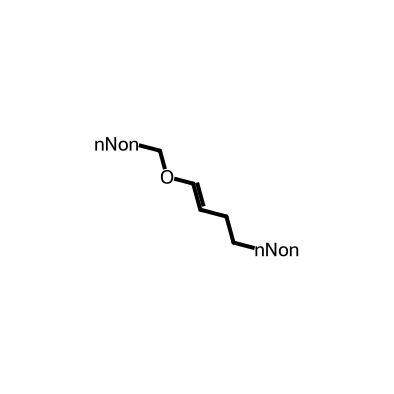 CCCCCCCCCCCC=COCCCCCCCCCC